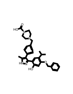 Cc1[nH]nc(-c2cc(C(C)C)c(OCc3ccccc3)cc2O)c1-c1ccc(CN2CCN(C(=O)O)CC2)cc1